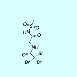 CS(=O)(=O)NC(=O)CNC(=O)C(Br)(Br)Br